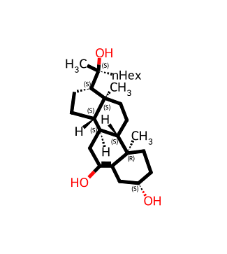 CCCCCC[C@](C)(O)[C@H]1CC[C@H]2[C@@H]3CC(O)=C4C[C@@H](O)CC[C@]4(C)[C@H]3CC[C@@]21C